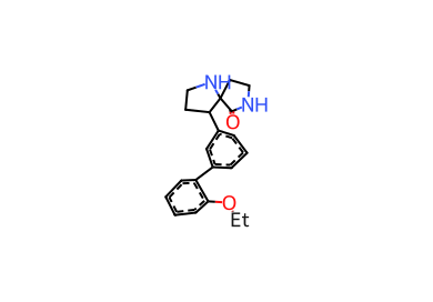 CCOc1ccccc1-c1cccc(C2CCNC23CCNC3=O)c1